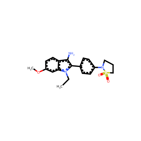 CCn1c(-c2ccc(N3CCCS3(=O)=O)cc2)c(N)c2ccc(OC)cc21